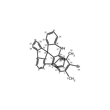 Cc1cc(-c2cccc3c2C2(c4ccccc4Nc4ccccc42)c2ccccc2-3)cc(C)c1Br